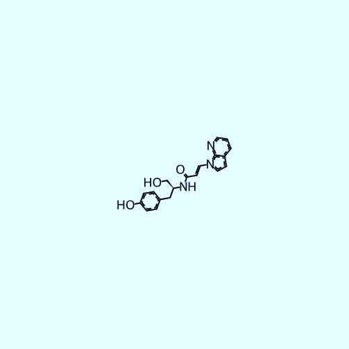 O=C(C=Cn1ccc2cccnc21)N[C@H](CO)Cc1ccc(O)cc1